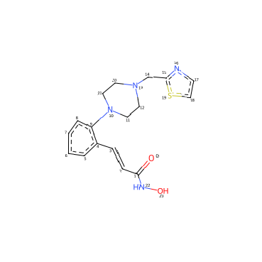 O=C(/C=C/c1ccccc1N1CCN(Cc2nccs2)CC1)NO